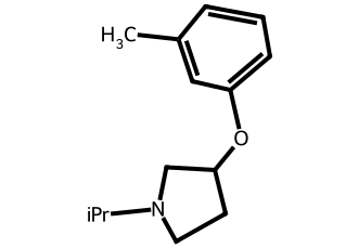 Cc1cccc(OC2CCN(C(C)C)C2)c1